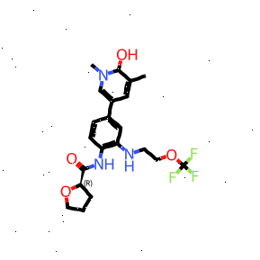 CC1=CC(c2ccc(NC(=O)[C@H]3CCCO3)c(NCCOC(F)(F)F)c2)=CN(C)C1O